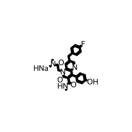 CNC(=O)c1c(-c2ccc(O)cc2)c2ncc(Cc3ccc(F)cc3)cc2n(CC(=O)N(C)C)c1=O.[NaH]